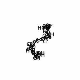 O=C(Nc1cc2c(c3ccccc13)C(CCl)CN2C(=O)c1cc2cc(-c3ccc(-c4ccc5oc(C(=O)N6CC(CCl)c7c6cc(NC(=O)OCc6ccc([N+](=O)[O-])c(O[PH](O)(O)O)c6)c6ccccc76)cc5c4)o3)ccc2o1)OCc1ccc([N+](=O)[O-])c(O[PH](O)(O)O)c1